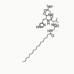 CCCCCCCCCCCCCCCC(=O)N[C@@H](C)C(=O)N[C@H](C(=O)N[C@@H](Cc1c[nH]cn1)C(=O)N[C@@H](C)C(=O)NC)C(C)C